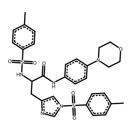 Cc1ccc(S(=O)(=O)NC(Cc2cn(S(=O)(=O)c3ccc(C)cc3)cn2)C(=O)Nc2ccc(N3CCOCC3)cc2)cc1